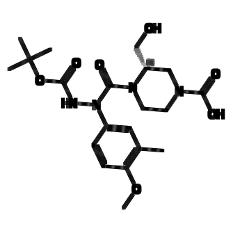 COc1ccc(N(NC(=O)OC(C)(C)C)C(=O)N2CCN(C(=O)O)C[C@H]2CO)cc1C